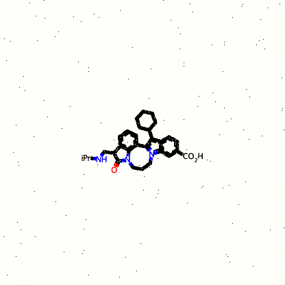 CC(C)NCC1C(=O)N2CCCn3c(c(C4CCCCC4)c4ccc(C(=O)O)cc43)-c3cccc1c32